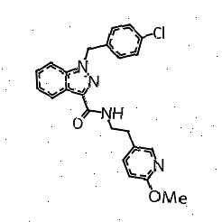 COc1ccc(CCNC(=O)c2nn(Cc3ccc(Cl)cc3)c3ccccc23)cn1